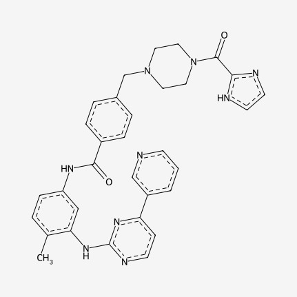 Cc1ccc(NC(=O)c2ccc(CN3CCN(C(=O)c4ncc[nH]4)CC3)cc2)cc1Nc1nccc(-c2cccnc2)n1